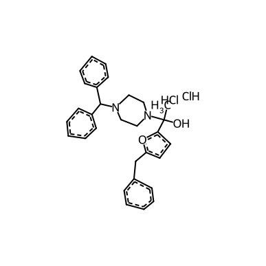 CC(O)(c1ccc(Cc2ccccc2)o1)N1CCN(C(c2ccccc2)c2ccccc2)CC1.Cl.Cl